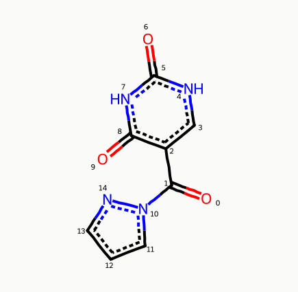 O=C(c1c[nH]c(=O)[nH]c1=O)n1cccn1